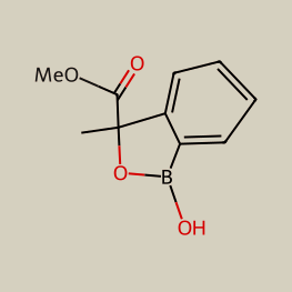 COC(=O)C1(C)OB(O)c2ccccc21